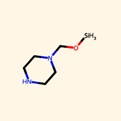 [SiH3]OCN1CCNCC1